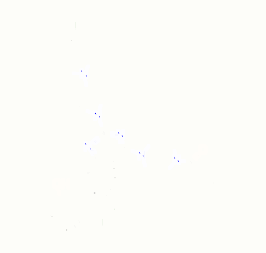 C=CC(=O)N1CCN(c2nc(N3CC(N4CCC(F)(F)CC4)C3)nc3c(F)c(-c4c(O)cccc4F)c(Cl)cc23)CC1